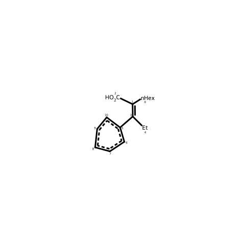 CCCCCCC(C(=O)O)=C(CC)c1ccccc1